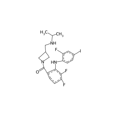 CC(C)NCC1CN(C(=O)c2ccc(F)c(F)c2Nc2ccc(I)cc2F)C1